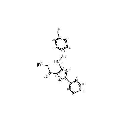 CC(C)CC(=O)n1nc(-c2ccccn2)nc1NCc1ccc(F)cc1